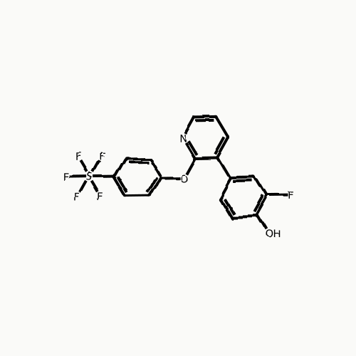 Oc1ccc(-c2cccnc2Oc2ccc(S(F)(F)(F)(F)F)cc2)cc1F